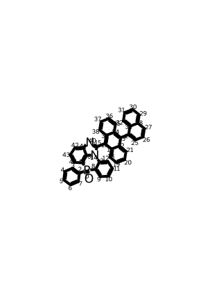 O=P1(c2ccccc2)c2ccccc2-n2c(-c3c4ccccc4c(-c4cccc5ccccc45)c4ccccc34)nc3cccc1c32